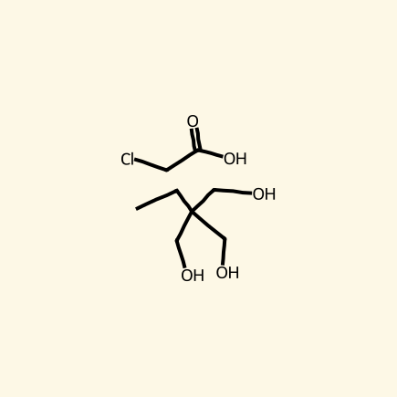 CCC(CO)(CO)CO.O=C(O)CCl